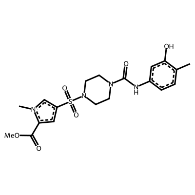 COC(=O)c1cc(S(=O)(=O)N2CCN(C(=O)Nc3ccc(C)c(O)c3)CC2)cn1C